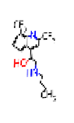 C=CCCNCC(O)c1cc(C(F)(F)F)nc2c(C(F)(F)F)cccc12